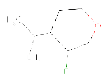 CC(C)C1CCOCC1F